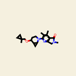 Cc1c(N2CCC(OCC3(C)CC3)C3CC32)nc2c(c1C)C(=O)N(C)C2